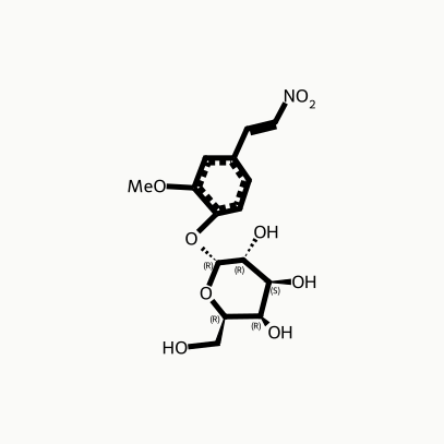 COc1cc(C=C[N+](=O)[O-])ccc1O[C@H]1O[C@H](CO)[C@H](O)[C@H](O)[C@H]1O